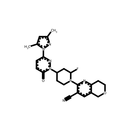 Cc1cc(C)n(-c2ccc(=O)n(C3CCN(c4nc5c(cc4C#N)COCC5)C(F)C3)n2)n1